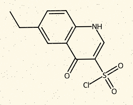 CCc1ccc2[nH]cc(S(=O)(=O)Cl)c(=O)c2c1